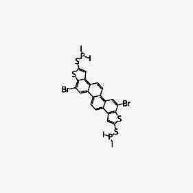 Brc1cc2c(ccc3c4cc(Br)c5sc(SP(I)I)cc5c4ccc23)c2cc(SP(I)I)sc12